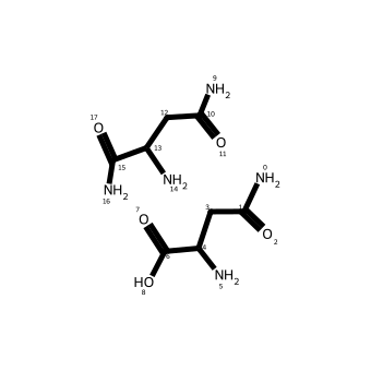 NC(=O)CC(N)C(=O)O.NC(=O)CC(N)C(N)=O